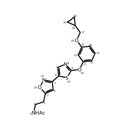 CC(=O)NCCc1cc(-c2cnc(Oc3cccc(OCC4CC4)c3)s2)no1